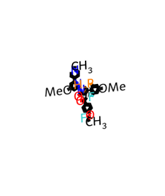 COc1cc(C2CCN(C)CC2)nc(N2C[C@@H](c3c(F)cc(OC)cc3P)[C@H](CC(=O)c3ccc(OC(C)F)cc3)C2=O)c1